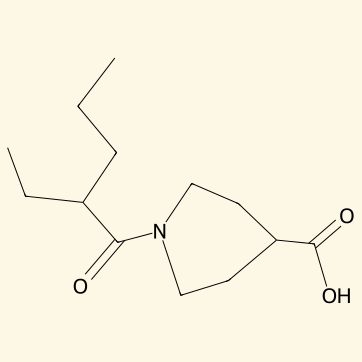 CCCC(CC)C(=O)N1CCC(C(=O)O)CC1